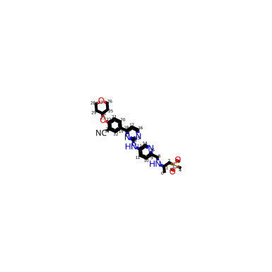 CC(CS(C)(=O)=O)NCc1ccc(Nc2nccc(-c3ccc(OC4CCOCC4)c(C#N)c3)n2)cn1